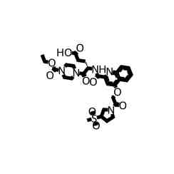 CCOC(=O)N1CCN(C(=O)[C@H](CCC(=O)O)NC(=O)c2cc(OCC(=O)N3CCC(S(C)(=O)=O)C3)c3ccccc3n2)CC1